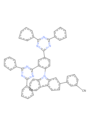 N#Cc1cccc(-c2ccc3c4ccccc4n(-c4ccc(-c5nc(-c6ccccc6)nc(-c6ccccc6)n5)cc4-c4nc(-c5ccccc5)nc(-c5ccccc5)n4)c3c2)c1